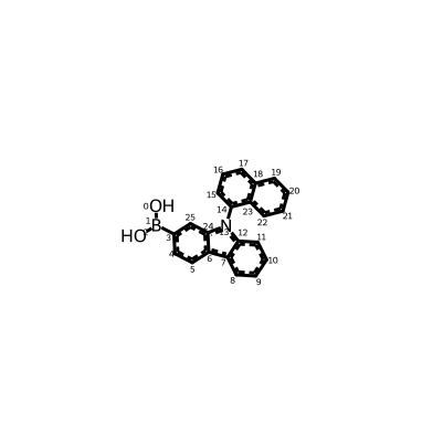 OB(O)c1ccc2c3ccccc3n(-c3cccc4ccccc34)c2c1